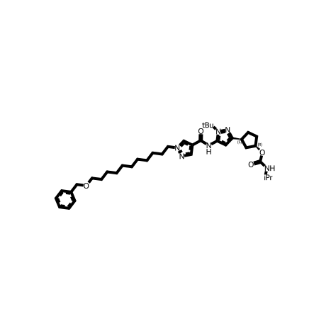 CC(C)NC(=O)O[C@@H]1CC[C@H](c2cc(NC(=O)c3cnn(CCCCCCCCCCCOCc4ccccc4)c3)n(C(C)(C)C)n2)C1